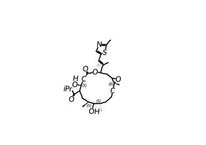 C/C(=C\c1cnc(C)s1)C1CC2O[C@]2(C)CCC[C@H](C)C(O)[C@@H](C)CC(C(=O)C(C)C)[C@@H](O)CC(=O)O1